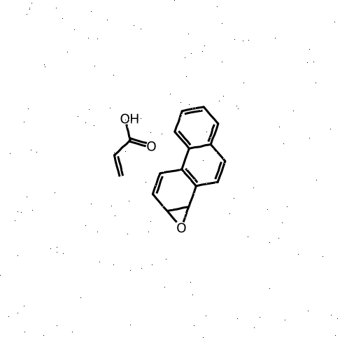 C1=CC2OC2c2ccc3ccccc3c21.C=CC(=O)O